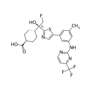 Cc1cc(Nc2nccc(C(F)(F)F)n2)cc(-c2cnc([C@@](O)(CF)[C@H]3CC[C@H](C(=O)O)CC3)s2)c1